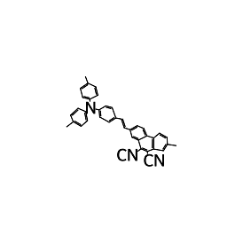 [C-]#[N+]c1c(C#N)c2cc(C)ccc2c2ccc(C=Cc3ccc(N(c4ccc(C)cc4)c4ccc(C)cc4)cc3)cc12